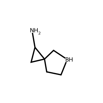 NC1CC12CBCC2